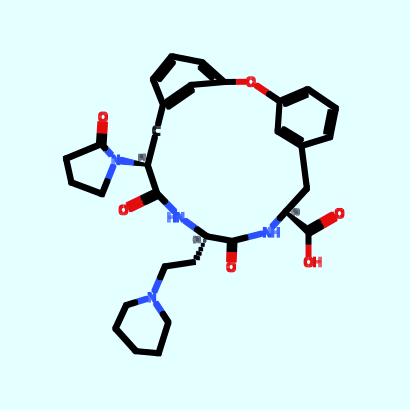 O=C(O)[C@@H]1Cc2cccc(c2)Oc2cccc(c2)C[C@H](N2CCCC2=O)C(=O)N[C@@H](CCN2CCCCC2)C(=O)N1